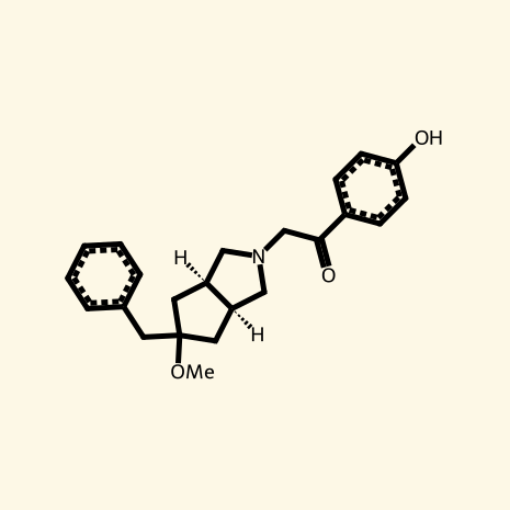 COC1(Cc2ccccc2)C[C@H]2CN(CC(=O)c3ccc(O)cc3)C[C@H]2C1